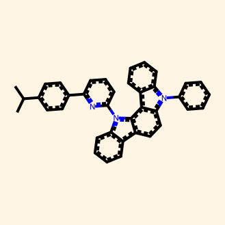 CC(C)c1ccc(-c2cccc(-n3c4ccccc4c4ccc5c(c6ccccc6n5-c5ccccc5)c43)n2)cc1